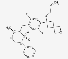 C=CCOC1(c2cc(F)c(CC3[C@H](C)NC[C@@H](c4ccccc4)S3(=O)=O)cc2F)CC2(COC2)C1